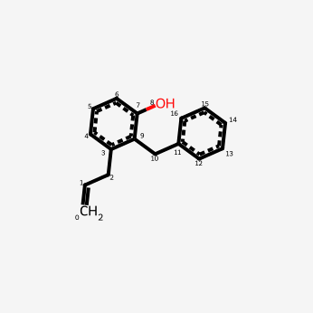 C=CCc1cccc(O)c1Cc1ccccc1